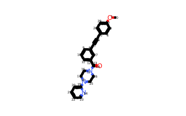 COc1ccc(C#Cc2cccc(C(=O)N3CCN(c4ccccn4)CC3)c2)cc1